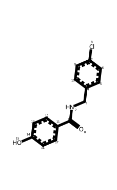 O=C(NCc1ccc(Cl)cc1)c1ccc(O)cc1